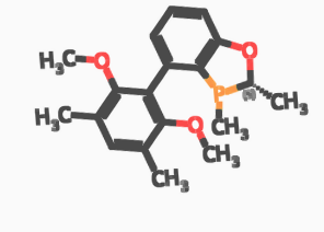 COc1c(C)cc(C)c(OC)c1-c1cccc2c1P(C)[C@@H](C)O2